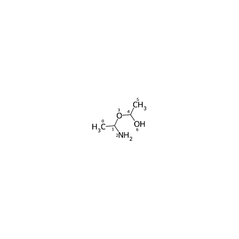 CC(N)OC(C)O